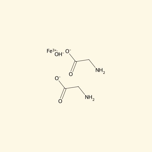 NCC(=O)[O-].NCC(=O)[O-].[Fe+3].[OH-]